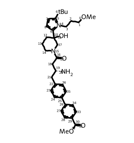 COCCCn1c(C(C)(C)C)ccc1C1(O)CCCN(C(=O)C[C@H](N)Cc2ccc(-c3ccc(C(=O)OC)cc3)cc2)C1